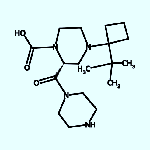 CC(C)(C)C1(N2CCN(C(=O)O)[C@@H](C(=O)N3CCNCC3)C2)CCC1